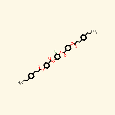 CCCc1ccc(CCC(=O)Oc2ccc(C(=O)Oc3ccc(OC(=O)c4ccc(OC(=O)CCc5ccc(CCC)cc5)cc4)c(F)c3)cc2)cc1